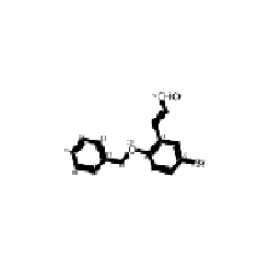 O=[C]C=Cc1cc(Br)ccc1OCc1ccccc1